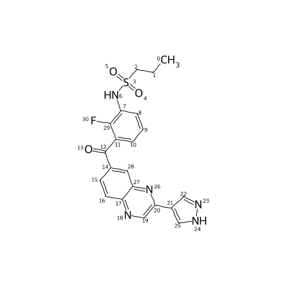 CCCS(=O)(=O)Nc1cccc(C(=O)c2ccc3ncc(-c4cn[nH]c4)nc3c2)c1F